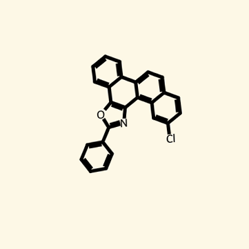 Clc1ccc2ccc3c4ccccc4c4oc(-c5ccccc5)nc4c3c2c1